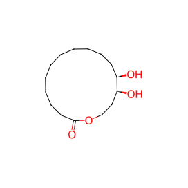 O=C1CCCCCCCCCC[C@@H](O)[C@@H](O)CCO1